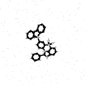 O=S1(=O)c2cc(-n3c4ccccc4c4ccccc43)ccc2-n2c(-c3ccccc3)nc3cccc1c32